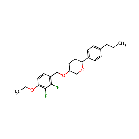 CCCc1ccc(C2CCC(OCc3ccc(OCC)c(F)c3F)CO2)cc1